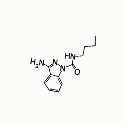 CCCCNC(=O)n1nc(N)c2ccccc21